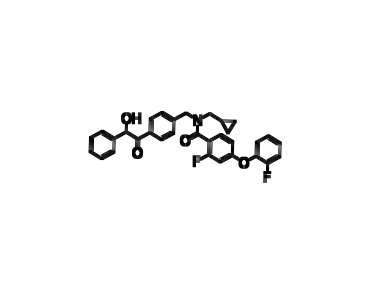 O=C(c1ccc(CN(CC2CC2)C(=O)c2ccc(Oc3ccccc3F)cc2F)cc1)C(O)c1ccccc1